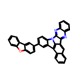 c1ccc2c(c1)cc1c3nc4ccccc4nc3n3c4ccc(-c5ccc6oc7ccccc7c6c5)cc4c2c13